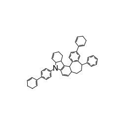 C1=CC(c2ccc(N3C4=C(C5CCC=CC53)C3c5ccc(C6=CCCC=C6)cc5C(c5ccccc5)CCC3C=C4)cc2)=CCC1